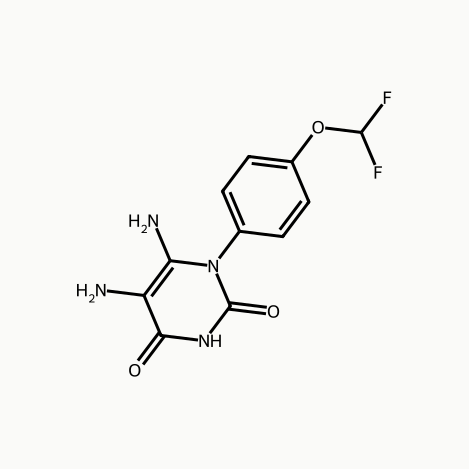 Nc1c(N)n(-c2ccc(OC(F)F)cc2)c(=O)[nH]c1=O